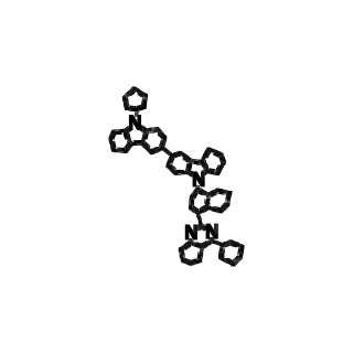 c1ccc(-c2nc(-c3ccc(-n4c5ccccc5c5cc(-c6ccc7c(c6)c6ccccc6n7-c6ccccc6)ccc54)c4ccccc34)nc3ccccc23)cc1